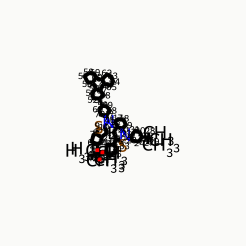 CCC(C)(C)c1ccc2sc3c(c2c1)B1c2c(cccc2N(c2ccc(C(C)(C)C)cc2)c2sc4ccc(C(C)(C)CC)cc4c21)N3c1ccc(-c2ccc3c4ccccc4c4ccccc4c3c2)cc1